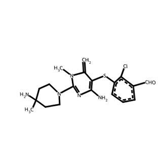 C=C1C(Sc2cccc(C=O)c2Cl)=C(N)N=C(N2CCC(C)(N)CC2)N1C